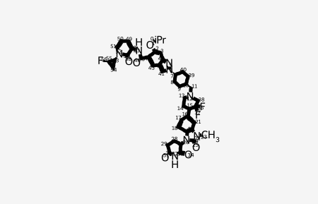 CC(C)Oc1cc2nn([C@H]3CC[C@H](CN4CCC(c5ccc6c(c5)n(C)c(=O)n6C5CCC(=O)NC5=O)C(F)(F)C4)CC3)cc2cc1C(=O)Nc1cccn([C@H]2C[C@H]2F)c1=O